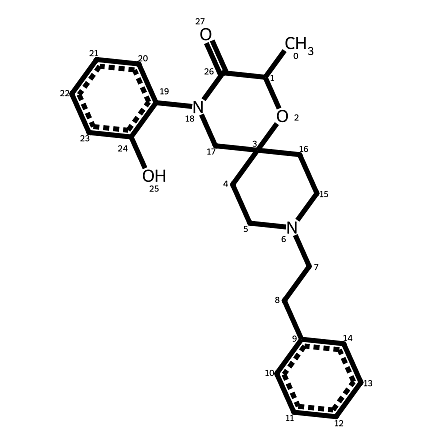 CC1OC2(CCN(CCc3ccccc3)CC2)CN(c2ccccc2O)C1=O